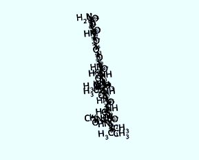 CC(C)(C)SCC(NC(=O)CNC(=O)CCl)C(=O)NCC(=O)NCC(=O)NCC(=O)NC(SC(C)(C)C)C(=O)NCC(=O)NC(S)C(=O)NCCOCCOCCOCCNC(=O)COCC(N)=O